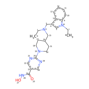 CCN(Cc1cn(CC)c2ccccc12)CC1CCN(c2ncc(C(=O)NO)cn2)CC1